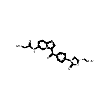 CC(=O)NC[C@H]1CN(c2ccc(C(=O)c3cnc4ccc(NC(=O)COC(C)=O)cn34)cc2)C(=O)O1